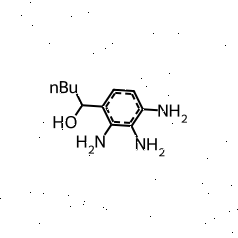 CCCCC(O)c1ccc(N)c(N)c1N